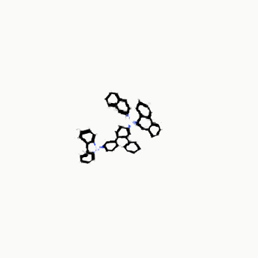 c1ccc(-c2cc(N(c3ccc4ccccc4c3)c3cc4ccccc4c4ccccc34)ccc2-c2cccc(-n3c4ccccc4c4ccccc43)c2)cc1